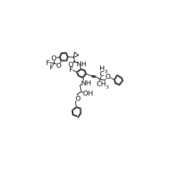 CC(C)(C#Cc1cc(NC(=O)C2(c3ccc4c(c3)OC(F)(F)O4)CC2)c(F)cc1NCC(O)COCc1ccccc1)COc1ccccc1